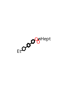 CCCCCCCC(=O)Oc1ccc(-c2ccc(C3CCC(CC)CC3)cc2)cc1